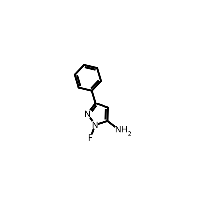 Nc1cc(-c2ccccc2)nn1F